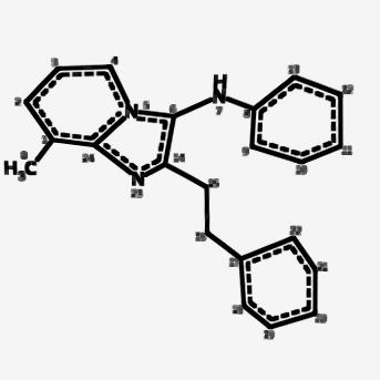 Cc1cccn2c(Nc3ccccc3)c(CCc3ccccc3)nc12